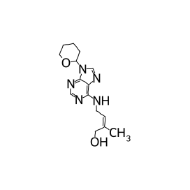 CC(=CCNc1ncnc2c1ncn2C1CCCCO1)CO